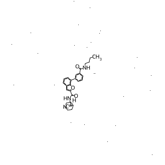 CCCCNC(=O)c1cccc(-c2cccc3cc(C(=O)N[C@@H]4CN5CCC4CC5)oc23)c1